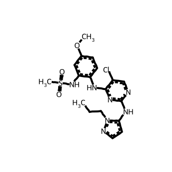 CCCn1nccc1Nc1ncc(Cl)c(Nc2ccc(OC)cc2NS(C)(=O)=O)n1